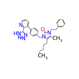 CCCCCc1c(C)n(CCc2ccccc2)c(=O)n1Cc1ccc(-c2cccnc2-c2nnn[nH]2)cc1